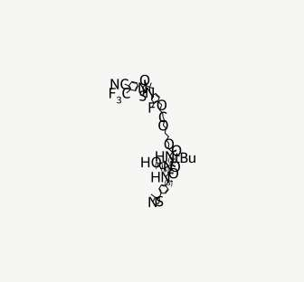 Cc1ncsc1-c1ccc([C@H](C)NC(=O)[C@@H]2C[C@@H](O)CN2C(=O)[C@@H](NC(=O)COCCCCOCCCCOc2ccc(N3C(=S)N(c4ccc(C#N)c(C(F)(F)F)c4)C(=O)C3(C)C)cc2F)C(C)(C)C)cc1